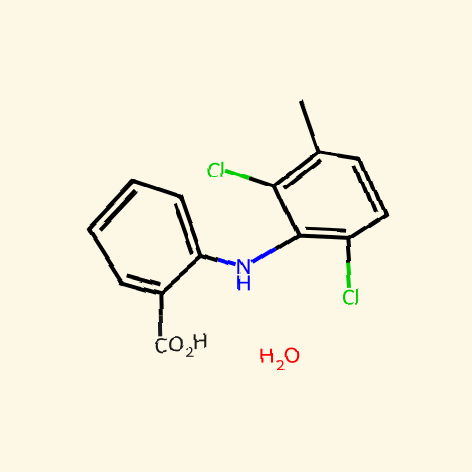 Cc1ccc(Cl)c(Nc2ccccc2C(=O)O)c1Cl.O